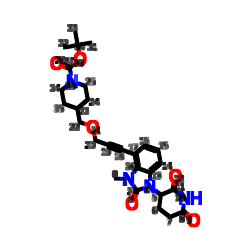 Cn1c(=O)n(C2CCC(=O)NC2=O)c2cccc(C#CCOCC3CCN(C(=O)OC(C)(C)C)CC3)c21